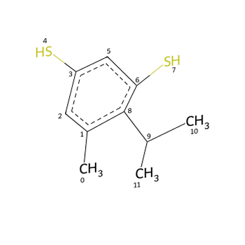 Cc1cc(S)cc(S)c1C(C)C